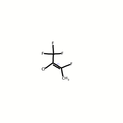 C/C(F)=C(\Cl)C(F)(F)F